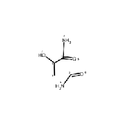 CC(O)C(N)=O.NC=O